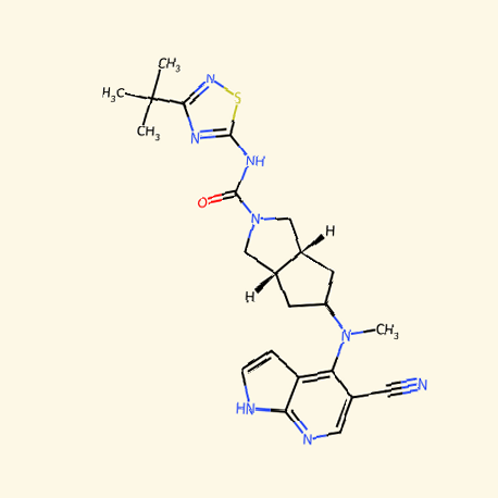 CN(c1c(C#N)cnc2[nH]ccc12)C1C[C@@H]2CN(C(=O)Nc3nc(C(C)(C)C)ns3)C[C@@H]2C1